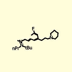 CCCN(N(C)C/C=C/C=C(\C=C(/C)F)CCCN1CCCCC1)C(C)(C)C